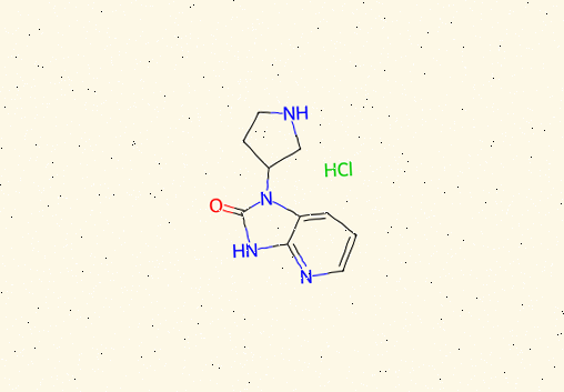 Cl.O=c1[nH]c2ncccc2n1C1CCNC1